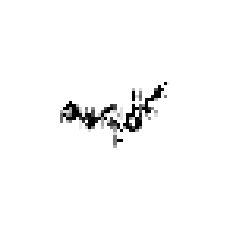 CN(C)CCCC(=O)Nc1cccc(Nc2nccc(-c3cnc(-c4cccnc4)[nH]3)n2)c1